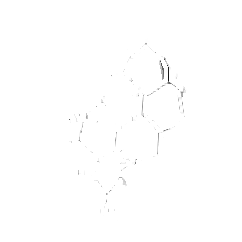 CC(C)CN(Cc1ccc2ccccc2c1)C1CCNCC1